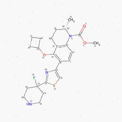 COC(=O)N1c2ccc(-c3csc(C4(F)CCNCC4)n3)c(OC3CCC3)c2CC[C@@H]1C